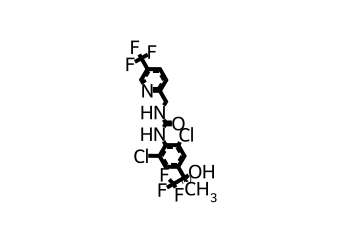 C[C@@](O)(c1cc(Cl)c(NC(=O)NCc2ccc(C(F)(F)F)cn2)c(Cl)c1)C(F)(F)F